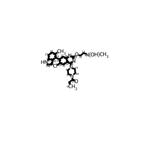 C=CC(=O)N1CCN(c2nc(OCCN(C)O)nc3cc(-c4c(C)ccc5[nH]ncc45)c(Cl)cc23)CC1